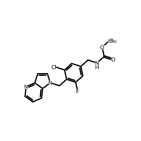 CC(C)(C)OC(=O)NCc1cc(F)c(Cn2ccc3ncccc32)c(Cl)c1